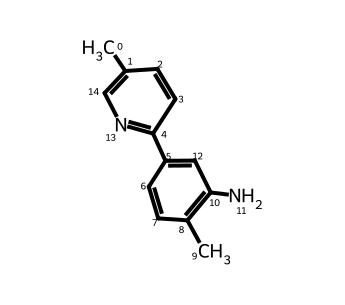 Cc1ccc(-c2ccc(C)c(N)c2)nc1